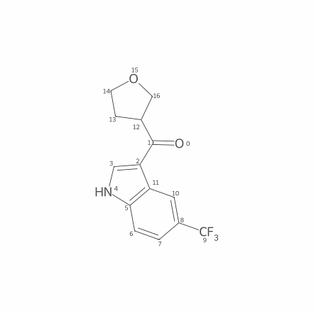 O=C(c1c[nH]c2ccc(C(F)(F)F)cc12)C1CCOC1